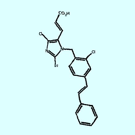 CCc1nc(Cl)c(C=CC(=O)O)n1Cc1ccc(C=Cc2ccccc2)cc1Cl